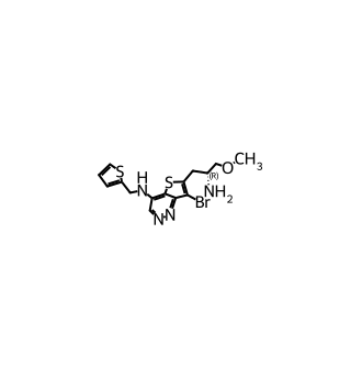 COC[C@H](N)Cc1sc2c(NCc3cccs3)cnnc2c1Br